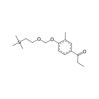 CCC(=O)c1ccc(OCOCC[Si](C)(C)C)c(C)c1